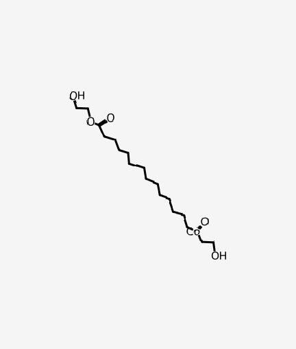 O=C(CCCCCCCCCCCC[CH2][Co](=[O])[CH2]CO)OCCO